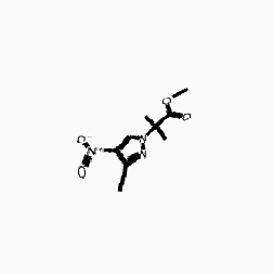 COC(=O)C(C)(C)n1cc([N+](=O)[O-])c(C)n1